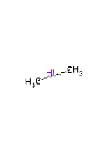 CCCCCCCCCCCCCCCC.I